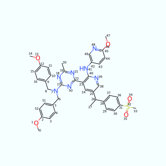 COc1ccc(CN(Cc2ccc(OC)cc2)c2nc(C)nc(-c3cc(C(C)c4ccc(S(C)(=O)=O)cc4)cnc3Nc3ccc(OC)nc3)n2)cc1